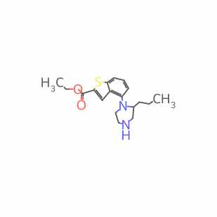 CCCC1CNCCN1c1cccc2sc(C(=O)OCC)cc12